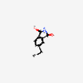 CCc1ccc2c(c1)C(=O)NC2=O